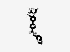 CC(=O)N(CC(F)F)c1ccc(-c2ccc(C(=O)NCc3ccc4nccn4c3)cn2)cc1Cl